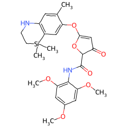 COc1cc(OC)c(NC(=O)C2OC(Oc3cc4c(cc3C)NCC[Si]4(C)C)=CC2=O)c(OC)c1